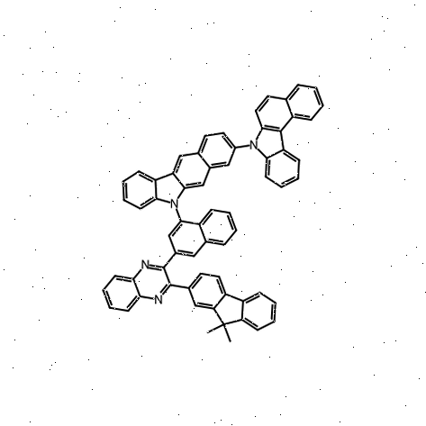 CC1(C)c2ccccc2-c2ccc(-c3nc4ccccc4nc3-c3cc(-n4c5ccccc5c5cc6ccc(-n7c8ccccc8c8c9ccccc9ccc87)cc6cc54)c4ccccc4c3)cc21